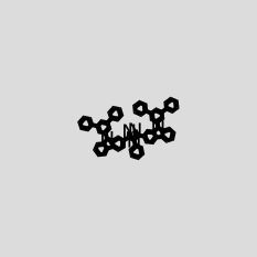 c1ccc(-c2cc(-c3ccccc3)cc(-n3c4ccccc4c4ccc(-c5nnc(-c6ccc7c8ccccc8n(-c8cc(-c9ccccc9)cc(-c9ccccc9)c8)c7c6)n5-c5ccccc5)cc43)c2)cc1